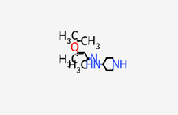 C/C(=C\C(C)=N\NC1CCNCC1)OC(C)C